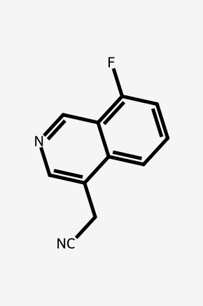 N#CCc1cncc2c(F)cccc12